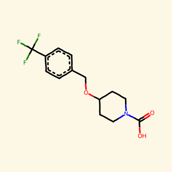 O=C(O)N1CCC(OCc2ccc(C(F)(F)F)cc2)CC1